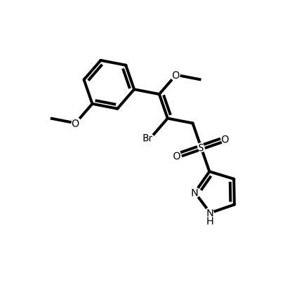 COC(=C(Br)CS(=O)(=O)c1cc[nH]n1)c1cccc(OC)c1